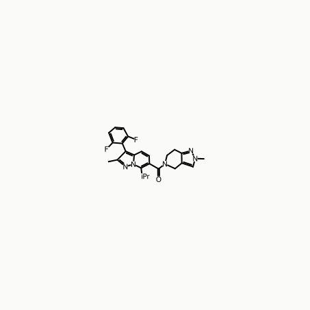 Cc1nn2c(C(C)C)c(C(=O)N3CCc4nn(C)cc4C3)ccc2c1-c1c(F)cccc1F